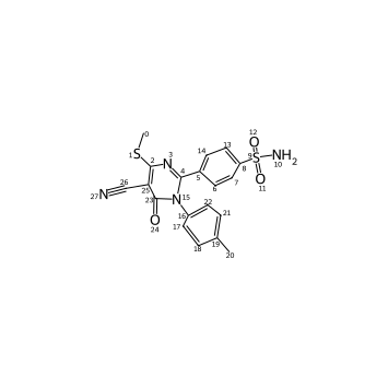 CSc1nc(-c2ccc(S(N)(=O)=O)cc2)n(-c2ccc(C)cc2)c(=O)c1C#N